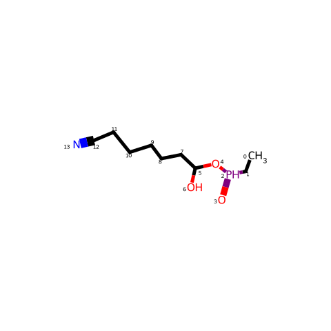 CC[PH](=O)OC(O)CCCCCC#N